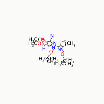 CC(C)(C)OC(=O)Nc1cc(C#N)c2nc(-c3nn(COCC[Si](C)(C)C)c4c3CC3=C[C@]3(C)C4)n(COCC[Si](C)(C)C)c2c1